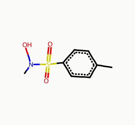 Cc1ccc(S(=O)(=O)N(C)O)cc1